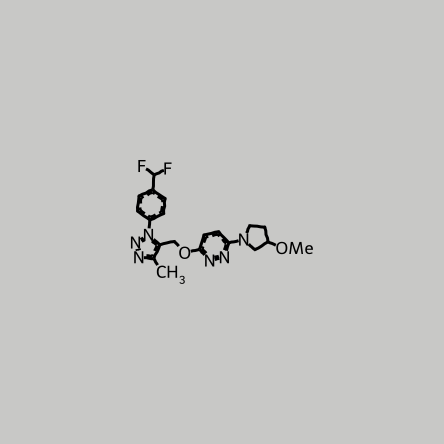 COC1CCN(c2ccc(OCc3c(C)nnn3-c3ccc(C(F)F)cc3)nn2)C1